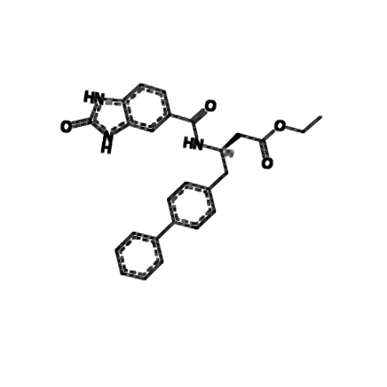 CCOC(=O)C[C@@H](Cc1ccc(-c2ccccc2)cc1)NC(=O)c1ccc2[nH]c(=O)[nH]c2c1